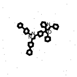 c1ccc(-c2ccc(-c3cc(-c4ccc(-c5c(-c6ccccc6)oc6c(-c7ccccc7)nc7ccccc7c56)cc4)nc(-c4ccc(-c5ccccc5)cc4)n3)cc2)cc1